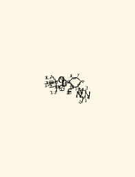 Cc1ncn(-c2cccc(B3OC(C)(C)C(C)(C)O3)c2F)n1